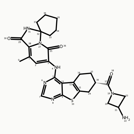 Cc1cc(Nc2ncnc3sc4c(c23)CC[C@H](C(=O)N2CC(N)C2)C4)c(=O)n2c1C(=O)NC21CCCCC1